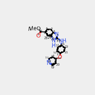 COC(=O)c1ccc2nc(Nc3ccc(Oc4ccncc4)cc3)[nH]c2c1